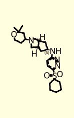 CC1(C)CC(N2C[C@H]3C[C@H](Nc4ccc(S(=O)(=O)C5CCCCC5)nn4)C[C@H]3C2)CCO1